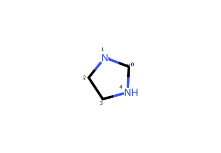 [C]1[N]CCN1